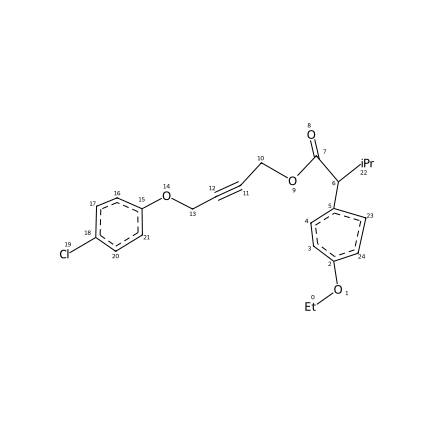 CCOc1ccc(C(C(=O)OCC#CCOc2ccc(Cl)cc2)C(C)C)cc1